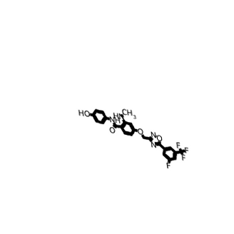 CNc1cc(OCc2noc(-c3cc(F)cc(C(F)(F)F)c3)n2)ccc1C(=O)Nc1ccc(O)cc1